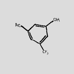 CC(=O)c1cc(O)cc(C(F)(F)F)c1